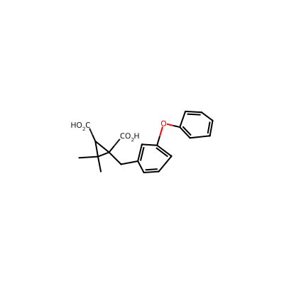 CC1(C)C(C(=O)O)C1(Cc1cccc(Oc2ccccc2)c1)C(=O)O